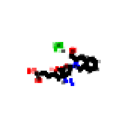 Cl.Cl.NC(CCCCB(O)O)(CCN1Cc2ccccc2CC1CO)C(=O)O